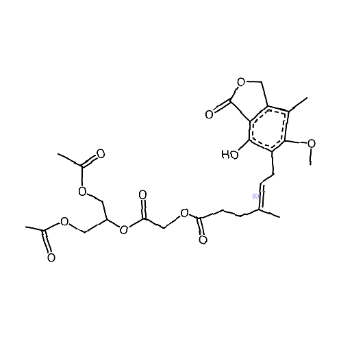 COc1c(C)c2c(c(O)c1C/C=C(\C)CCC(=O)OCC(=O)OC(COC(C)=O)COC(C)=O)C(=O)OC2